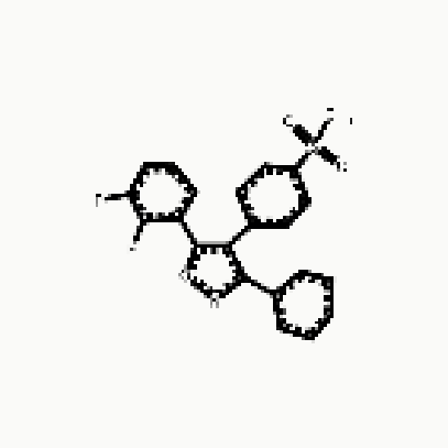 CS(=O)(=O)c1ccc(-c2c(-c3ccccc3)noc2-c2cccc(F)c2F)cc1